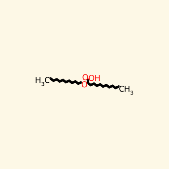 CCCCCCCCCCCCOC(CCCCCCCCCCC)C(=O)O